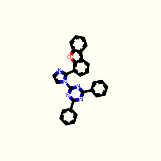 c1ccc(-c2nc(-c3ccccc3)nc(-n3ccnc3-c3cccc4c3oc3ccccc34)n2)cc1